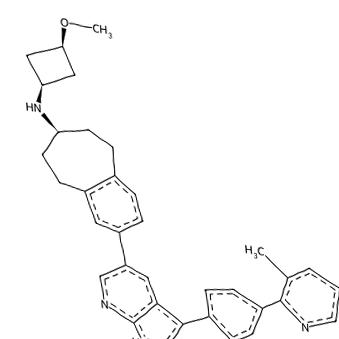 CO[C@H]1C[C@@H](N[C@H]2CCc3ccc(-c4cnc5[nH]nc(-c6ccc(-c7ncccc7C)cc6)c5c4)cc3CC2)C1